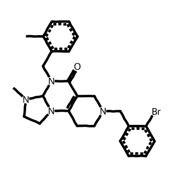 Cc1ccccc1CN1C(=O)C2=C(CCN(Cc3ccccc3Br)C2)N2CCN(C)C12